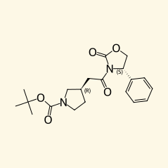 CC(C)(C)OC(=O)N1CC[C@H](CC(=O)N2C(=O)OC[C@@H]2c2ccccc2)C1